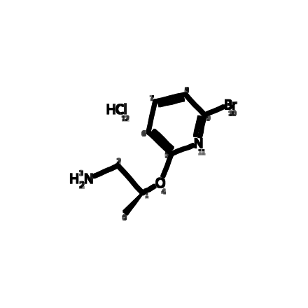 C[C@@H](CN)Oc1cccc(Br)n1.Cl